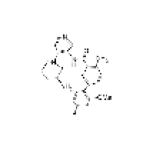 COc1cc(F)ccc1-c1ccc(N)c(C(=O)Nc2cnccc2N2CCC[C@H](N)C2)n1